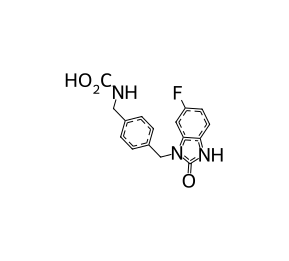 O=C(O)NCc1ccc(Cn2c(=O)[nH]c3ccc(F)cc32)cc1